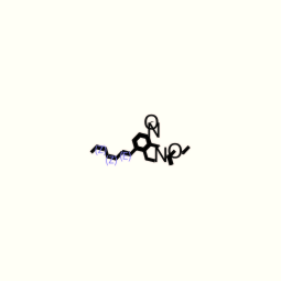 C=C(OCC)N1CCc2c(/C=C/C=C\C=C/C)ccc(N=O)c2C1